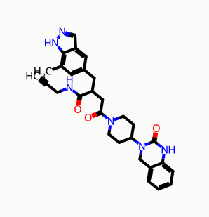 C#CCNC(=O)C(CC(=O)N1CCC(N2Cc3ccccc3NC2=O)CC1)Cc1cc(C)c2[nH]ncc2c1